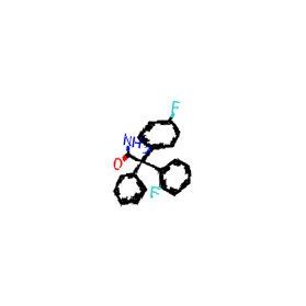 NC(=O)[C@](c1ccccc1)(c1ccc(F)cc1)c1ccccc1F